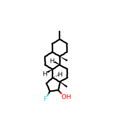 CC1CC[C@@]2(C)C(CC[C@@H]3[C@H]2CC[C@]2(C)C(O)C(F)C[C@@H]32)C1